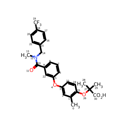 Cc1cc(Oc2cccc(C(=O)N(C)Cc3ccc(C(F)(F)F)cc3)c2)ccc1OC(C)(C)C(=O)O